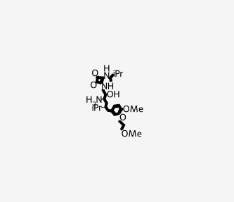 COCCCOc1cc(C[C@@H](C[C@H](N)[C@@H](O)CNc2c(NC(C)C(C)C)c(=O)c2=O)C(C)C)ccc1OC